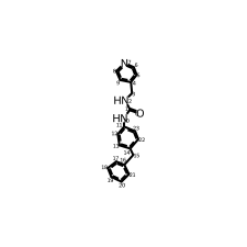 O=C(NCc1ccncc1)Nc1ccc(Cc2ccccc2)cc1